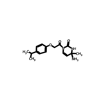 CC(C)c1ccc(OCC(=O)N2C=CC(C)(N)NC2=O)cc1